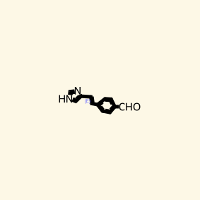 O=Cc1ccc(/C=C/c2c[nH]cn2)cc1